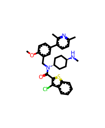 CN[C@H]1CC[C@H](N(Cc2cc(-c3ccc(C)nc3C)ccc2OC)C(=O)c2sc3ccccc3c2Cl)CC1